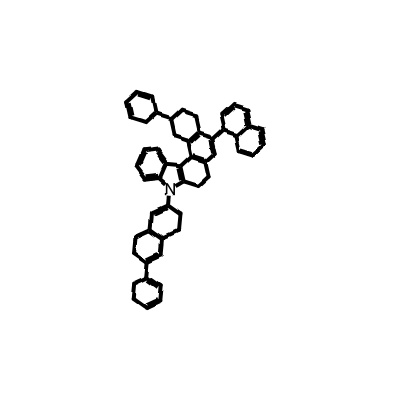 C1=CCCC(C2=CC3CCC(n4c5c(c6ccccc64)-c4c(cc(C6C=CC=C7C=CC=CC76)c6c4CC(C4C=CC=CC4)CC6)CC5)=CC3CC2)=C1